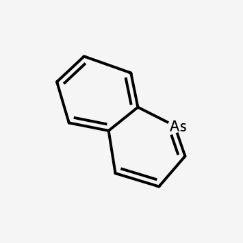 C1=Cc2ccccc2[As]=C1